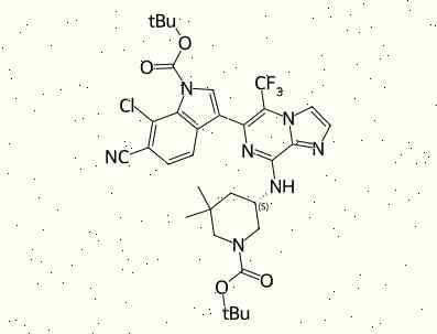 CC1(C)C[C@H](Nc2nc(-c3cn(C(=O)OC(C)(C)C)c4c(Cl)c(C#N)ccc34)c(C(F)(F)F)n3ccnc23)CN(C(=O)OC(C)(C)C)C1